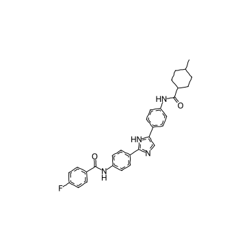 CC1CCC(C(=O)Nc2ccc(-c3cnc(-c4ccc(NC(=O)c5ccc(F)cc5)cc4)[nH]3)cc2)CC1